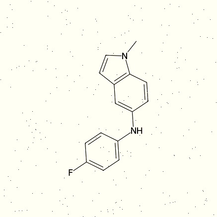 Cn1ccc2cc(Nc3ccc(F)cc3)ccc21